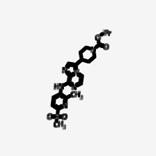 Cc1nc(S(C)(=O)=O)ccc1Nc1nccn2c(C3CCN(C(=O)OC(C)C)CC3)cnc12